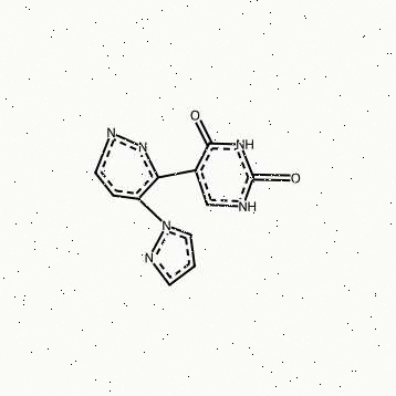 O=c1[nH]cc(-c2nnccc2-n2cccn2)c(=O)[nH]1